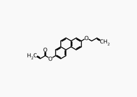 C=CCOc1ccc2c(ccc3cc(OC(=O)C=C)ccc32)c1